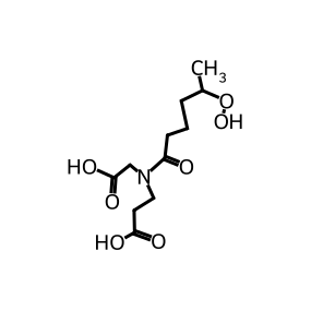 CC(CCCC(=O)N(CCC(=O)O)CC(=O)O)OO